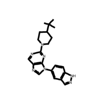 CC(C)(C)C1CCN(c2ncc3ncn(-c4ccc5[nH]ncc5c4)c3n2)CC1